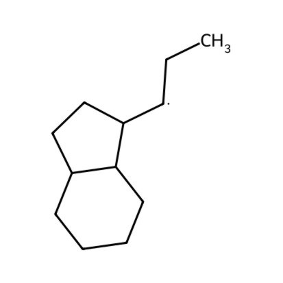 CC[CH]C1CCC2CCCCC12